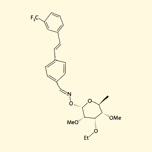 CCO[C@@H]1[C@H](OC)[C@H](ON=Cc2ccc(C=Cc3cccc(C(F)(F)F)c3)cc2)O[C@@H](C)[C@@H]1OC